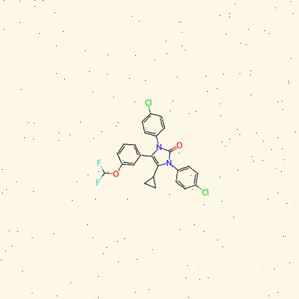 O=c1n(-c2ccc(Cl)cc2)c(-c2cccc(OC(F)F)c2)c(C2CC2)n1-c1ccc(Cl)cc1